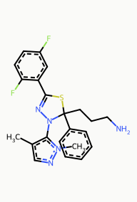 Cc1cnn(C)c1N1N=C(c2cc(F)ccc2F)SC1(CCCN)c1ccccc1